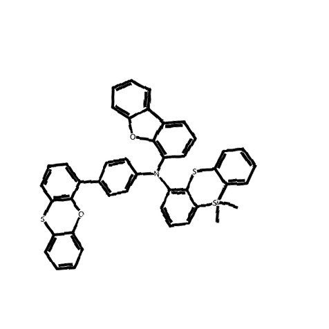 C[Si]1(C)c2ccccc2Sc2c(N(c3ccc(-c4cccc5c4Oc4ccccc4S5)cc3)c3cccc4c3oc3ccccc34)cccc21